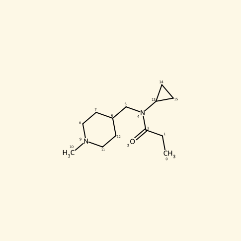 CCC(=O)N(CC1CCN(C)CC1)C1CC1